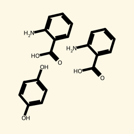 Nc1ccccc1C(=O)O.Nc1ccccc1C(=O)O.Oc1ccc(O)cc1